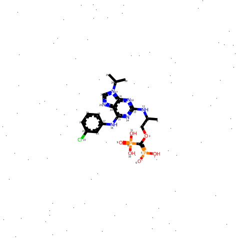 CC(CO/C(=[P+](/[O-])O)P(=O)(O)O)Nc1nc(Nc2cccc(Cl)c2)c2ncn(C(C)C)c2n1